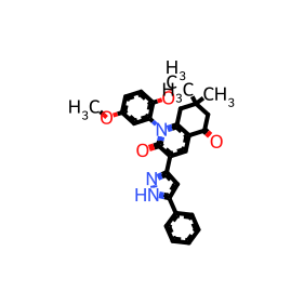 COc1ccc(OC)c(-n2c3c(cc(-c4cc(-c5ccccc5)[nH]n4)c2=O)C(=O)CC(C)(C)C3)c1